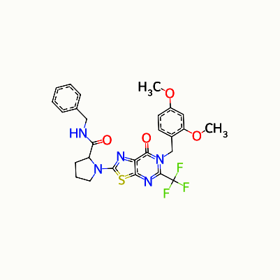 COc1ccc(Cn2c(C(F)(F)F)nc3sc(N4CCCC4C(=O)NCc4ccccc4)nc3c2=O)c(OC)c1